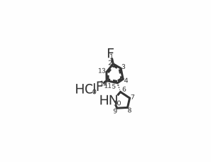 Cl.Fc1ccc([C@@H]2CCCN2)c(F)c1